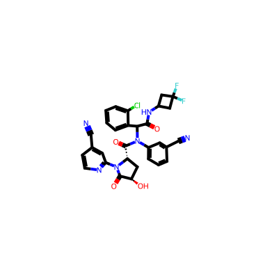 N#Cc1cccc(N(C(=O)[C@@H]2C[C@@H](O)C(=O)N2c2cc(C#N)ccn2)C(C(=O)NC2CC(F)(F)C2)c2ccccc2Cl)c1